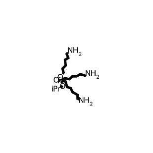 CC(C)[O][Ti](=[O])([CH2]CCCCCN)([CH2]CCCCCN)[O]CCCCCCN